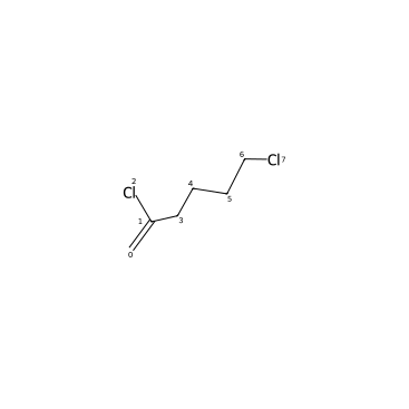 C=C(Cl)CCCCCl